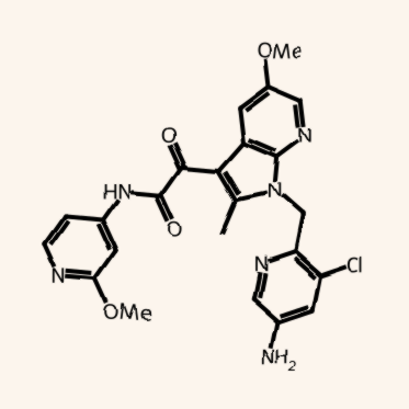 COc1cnc2c(c1)c(C(=O)C(=O)Nc1ccnc(OC)c1)c(C)n2Cc1ncc(N)cc1Cl